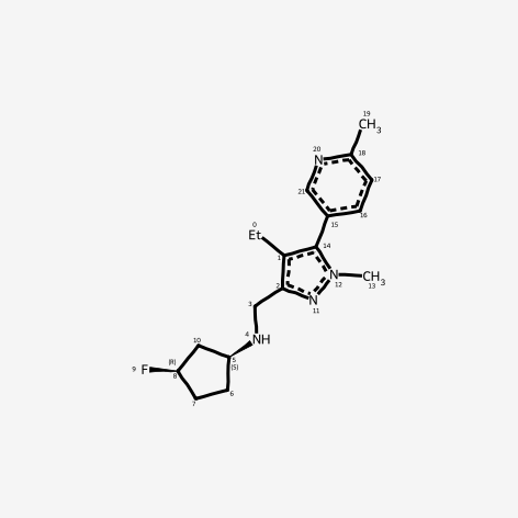 CCc1c(CN[C@H]2CC[C@@H](F)C2)nn(C)c1-c1ccc(C)nc1